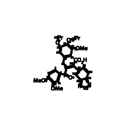 COc1ccc(C(=O)C(Cc2cc(OC)c(OC(C)C)c(OC(C)C)c2)=C(C(=O)O)c2ccc3nsnc3c2)cc1OC